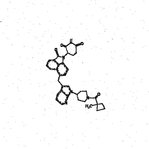 CC1(C(=O)N2CCC(n3cc(Cc4ccc5c6c(cccc46)C(=O)N5C4CCC(=O)NC4=O)c4cccnc43)CC2)CCC1